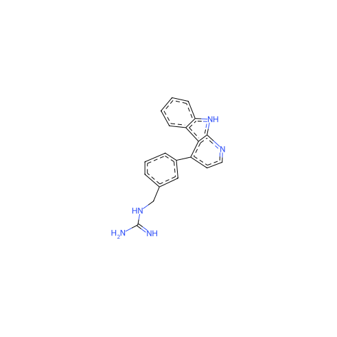 N=C(N)NCc1cccc(-c2ccnc3[nH]c4ccccc4c23)c1